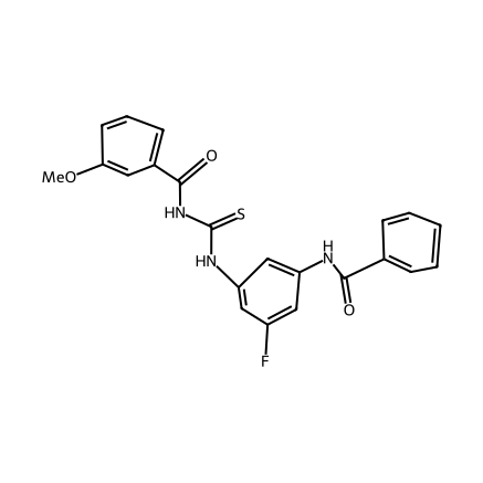 COc1cccc(C(=O)NC(=S)Nc2cc(F)cc(NC(=O)c3ccccc3)c2)c1